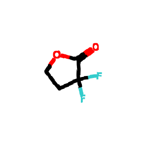 O=C1OCCC1(F)F